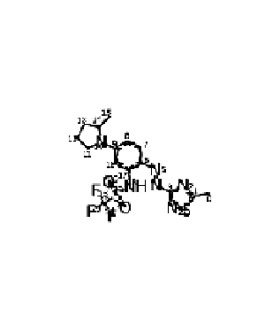 Cc1nc(/N=N/c2ccc(N3CCCC3C)cc2NS(=O)(=O)C(F)(F)F)ns1